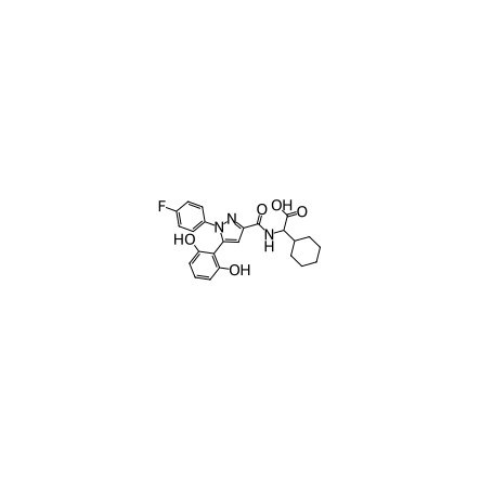 O=C(NC(C(=O)O)C1CCCCC1)c1cc(-c2c(O)cccc2O)n(-c2ccc(F)cc2)n1